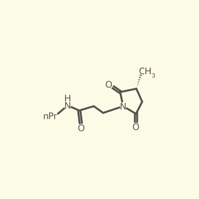 CCCNC(=O)CCN1C(=O)C[C@@H](C)C1=O